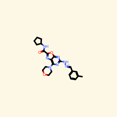 Cc1cccc(/C=N/Nc2nc(N3CCOCC3)c3nc(C(=O)NC4CCCC4)oc3n2)c1